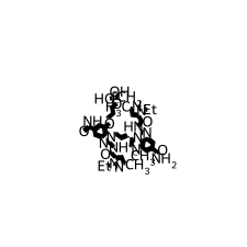 C=P(O)(O)OCCCOc1cc(C(N)=O)cc2nc(NC(=O)c3cc(C)nn3CC)n(C/C=C/[C@H]3CN(C)c4cc(C(N)=O)cc5nc(NC(=O)c6cc(C)nn6CC)n3c45)c12